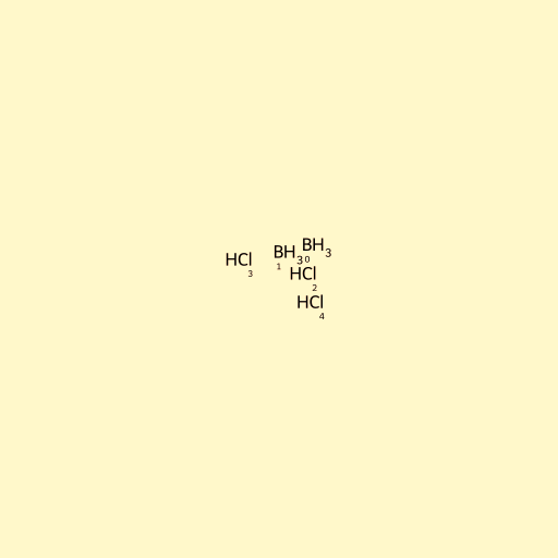 B.B.Cl.Cl.Cl